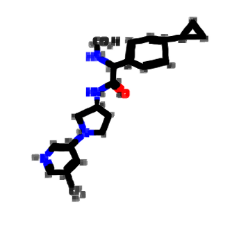 O=C(O)NC(C(=O)N[C@@H]1CCN(c2cncc(C(F)(F)F)c2)C1)c1ccc(C2CC2)cc1